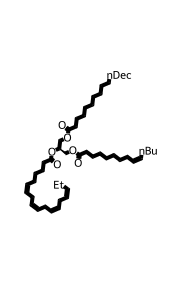 CC/C=C\C/C=C\C/C=C\C/C=C\CCCCC(=O)O[C@H](COC(=O)CCCCCCC/C=C\CCCC)COC(=O)CCCCCCCCCCCCCCCCCCC